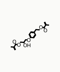 C=C(C)C(=O)OCCc1ccc(OCC(O)COC(=O)C(=C)C)cc1